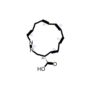 O=C(O)[C@H]1/C=C/C=C/C=C\C=C\C/C=C/N=N/C1